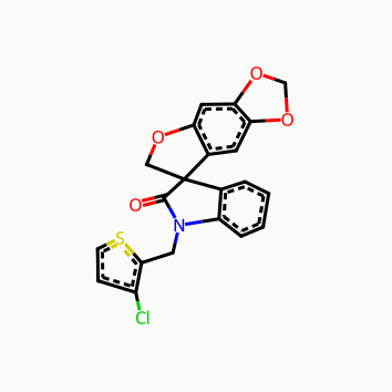 O=C1N(Cc2sccc2Cl)c2ccccc2C12COc1cc3c(cc12)OCO3